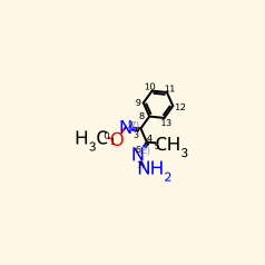 CO/N=C(\C(C)=N\N)c1ccccc1